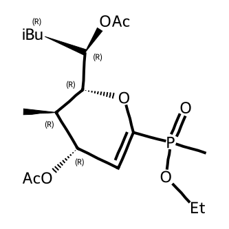 CCOP(C)(=O)C1=C[C@H](OC(C)=O)[C@@H](C)[C@H]([C@H](OC(C)=O)[C@H](C)CC)O1